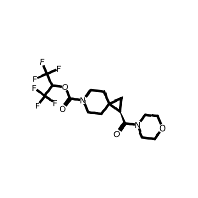 O=C(OC(C(F)(F)F)C(F)(F)F)N1CCC2(CC1)C[C@H]2C(=O)N1CCOCC1